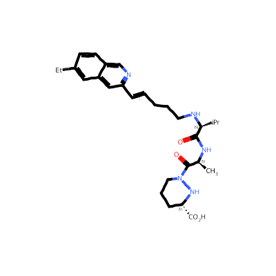 CCc1ccc2cnc(/C=C/CCCN[C@H](C(=O)N[C@@H](C)C(=O)N3CCC[C@@H](C(=O)O)N3)C(C)C)cc2c1